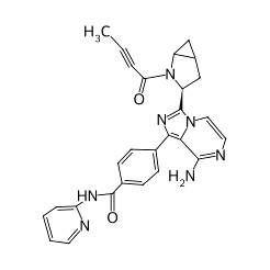 CC#CC(=O)N1C2CC2C[C@H]1c1nc(-c2ccc(C(=O)Nc3ccccn3)cc2)c2c(N)nccn12